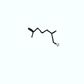 C=C(C)CCCC(C)CCl